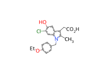 CCOc1ccc(Cn2c(C)c(CC(=O)O)c3cc(O)c(Cl)cc32)cc1